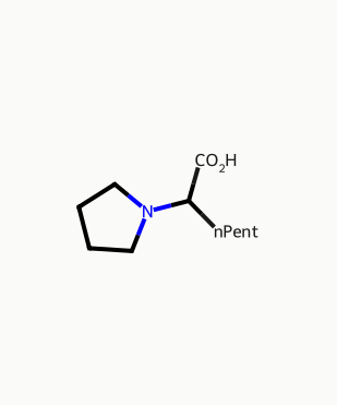 CCCCCC(C(=O)O)N1CCCC1